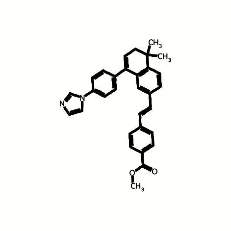 COC(=O)c1ccc(C=Cc2ccc3c(c2)C(c2ccc(-n4ccnc4)cc2)=CCC3(C)C)cc1